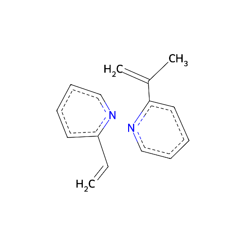 C=C(C)c1ccccn1.C=Cc1ccccn1